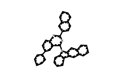 c1ccc(-c2ccc3nc(-c4ccc5ccccc5c4)nc(-n4c5ccccc5c5cc6ccccc6cc54)c3c2)cc1